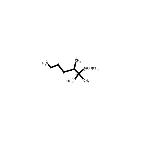 CC(CCCN)C(C)(C(=O)O)N(C)O